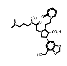 CCCCN(CCCN(C)C)C(=O)CN1C[C@H](c2cc(CO)c3c(c2)OCO3)[C@@H](C(=O)O)[C@@H]1CCn1ccccc1=O